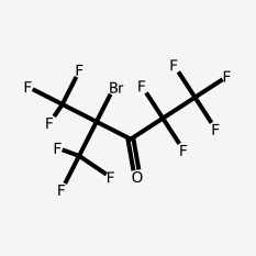 O=C(C(F)(F)C(F)(F)F)C(Br)(C(F)(F)F)C(F)(F)F